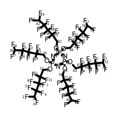 FC(F)C(F)(F)C(F)(F)C(F)(F)COP1(OCC(F)(F)C(F)(F)C(F)(F)C(F)F)=NP(OCC(F)(F)C(F)(F)C(F)(F)C(F)F)(OCC(F)(F)C(F)(F)C(F)(F)C(F)F)=NP(OCC(F)(F)C(F)(F)C(F)(F)C(F)F)(OCC(F)(F)C(F)(F)C(F)(F)C(F)F)=N1